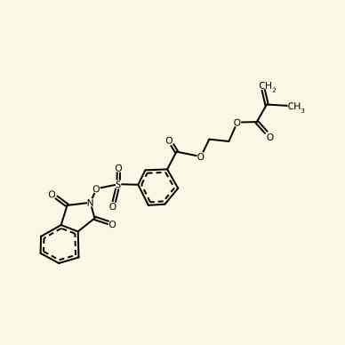 C=C(C)C(=O)OCCOC(=O)c1cccc(S(=O)(=O)ON2C(=O)c3ccccc3C2=O)c1